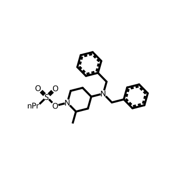 CCCS(=O)(=O)ON1CCC(N(Cc2ccccc2)Cc2ccccc2)CC1C